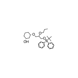 CCCOC(CO[C@H]1CCC[C@@H](O)C1)CO[Si](c1ccccc1)(c1ccccc1)C(C)(C)C